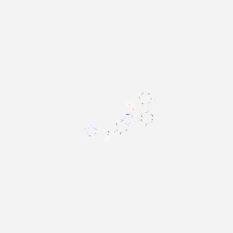 CCn1ccc(NC(=O)c2ccc3c(c2)nc(C(O)(c2ccccc2)c2ccccc2)n3C)n1